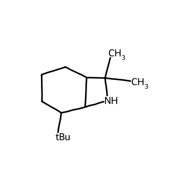 CC(C)(C)C1CCCC2C1NC2(C)C